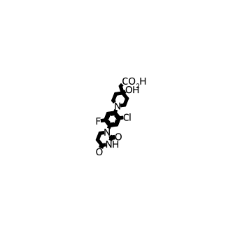 O=C(O)CC1(O)CCN(c2cc(F)c(N3CCC(=O)NC3=O)cc2Cl)CC1